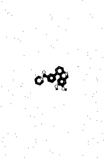 COc1cc2c(cc1OC)C1C(CCCC1c1cccc(C(=O)N3CCCCC3)c1)N=C2